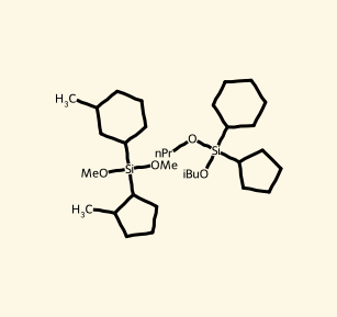 CCCO[Si](OCC(C)C)(C1CCCCC1)C1CCCC1.CO[Si](OC)(C1CCCC(C)C1)C1CCCC1C